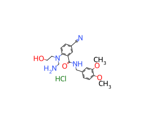 COc1ccc(CNC(=O)c2cc(C#N)ccc2N(CN)CCO)cc1OC.Cl